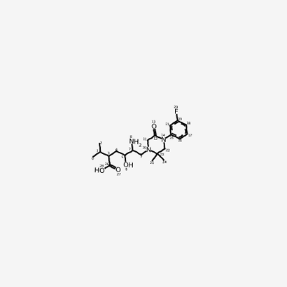 CC(C)C(CC(O)C(N)CN1CC(=O)N(c2cccc(F)c2)CC1(C)C)C(=O)O